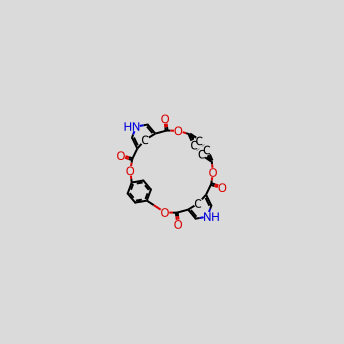 O=C1Oc2ccc(cc2)OC(=O)C2=CNC=C(C2)C(=O)Oc2ccc(cc2)OC(=O)C2=CNC=C1C2